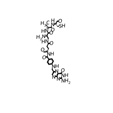 CC[C@H](NC(=O)[C@@H](N)CNC(=O)CC[C@H](C=O)NC(=O)c1ccc(NCc2cnc3nc(N)[nH]c(=O)c3n2)cc1)C(=O)N[C@H](C=O)CS